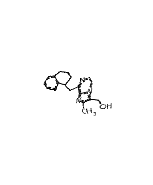 Cc1nc2c(CC3CCCc4ccccc43)nccn2c1CO